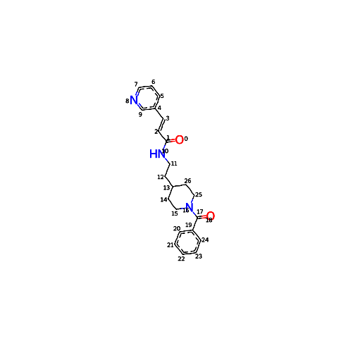 O=C(C=Cc1cccnc1)NCCC1CCN(C(=O)c2ccccc2)CC1